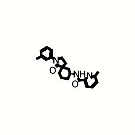 Cc1cccc(N2CCC3(CCC[C@H](NC(=O)c4cccc(C)n4)C3)C2=O)c1